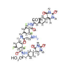 Cc1c(-c2ccc(CC(NC(=O)c3c(F)cc(CN(Cc4cc(F)c(C(=O)N[C@@H](Cc5ccc(-c6c(C)n(C)c(=O)n(C)c6=O)cc5)C(=O)O)c(F)c4)C(=O)CCN)cc3F)C(=O)O)cc2)c(=O)n(C)c(=O)n1C